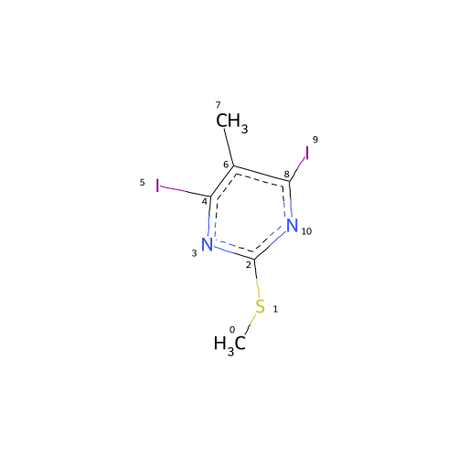 CSc1nc(I)c(C)c(I)n1